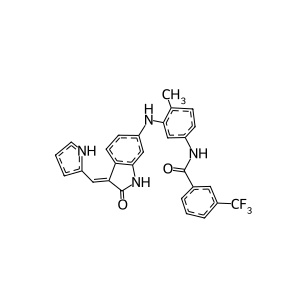 Cc1ccc(NC(=O)c2cccc(C(F)(F)F)c2)cc1Nc1ccc2c(c1)NC(=O)C2=Cc1ccc[nH]1